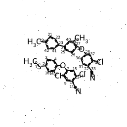 CSc1ccc(Oc2ccc(C#N)c(Cl)c2)c(C)c1.Cc1ccc(-c2ccc(Oc3ccc(C#N)c(Cl)c3)c(C)c2)cc1